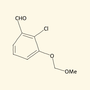 COCOc1cccc(C=O)c1Cl